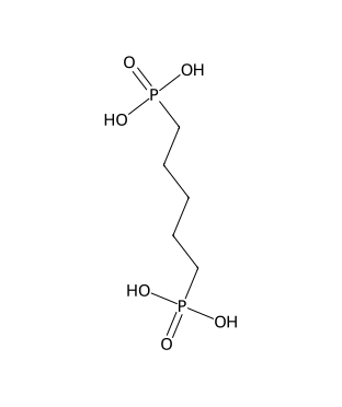 O=P(O)(O)CCCCCP(=O)(O)O